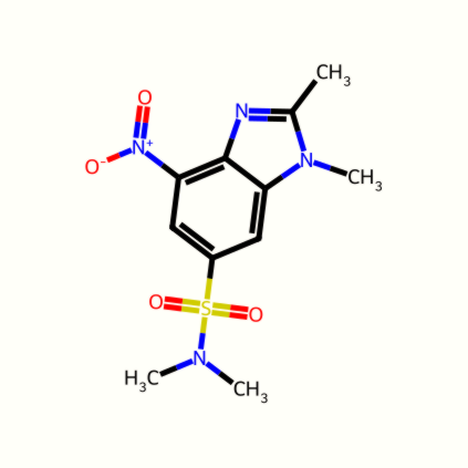 Cc1nc2c([N+](=O)[O-])cc(S(=O)(=O)N(C)C)cc2n1C